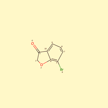 O=C1COc2c(Br)cccc21